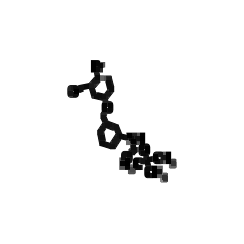 CC(C)(C)OC(=O)Nc1cccc(COc2ccc(Br)c(C=O)c2)c1